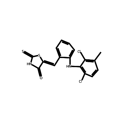 Cc1ccc(Cl)c(Nc2ccccc2/C=C2\SC(=S)NC2=O)c1Cl